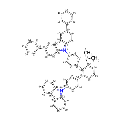 CC1(C)c2cc(-n3c4ccc(-c5ccccc5)cc4c4cc(-c5ccccc5)ccc43)ccc2-c2c(-c3ccc(-n4c5ccccc5c5ccccc54)cc3)cccc21